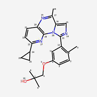 Cc1ccc(OCC(C)(C)O)cc1-c1ncc2c(C)nc3ccc(C4CC4)nc3n12